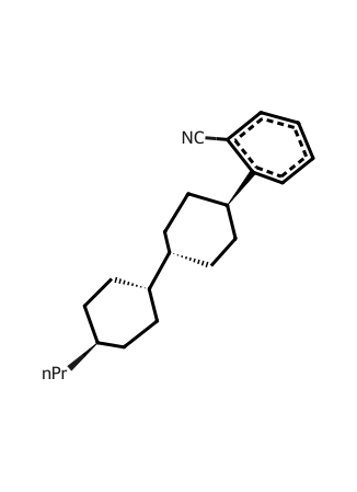 CCC[C@H]1CC[C@H]([C@H]2CC[C@H](c3ccccc3C#N)CC2)CC1